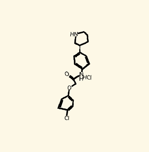 Cl.O=C(COc1ccc(Cl)cc1)Nc1ccc([C@@H]2CCCNC2)cc1